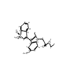 CCOC(=O)Cn1c(C)c(C2=CS(=O)(=O)c3ccccc32)c2cc(F)ccc21